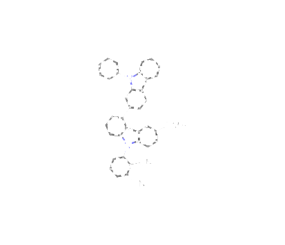 COc1ccc2c(c1)c1c(-c3ccc4c5ccccc5n(-c5ccccc5)c4c3)cccc1n2-c1cccc(C#N)c1C#N